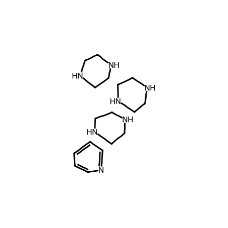 C1CNCCN1.C1CNCCN1.C1CNCCN1.c1ccncc1